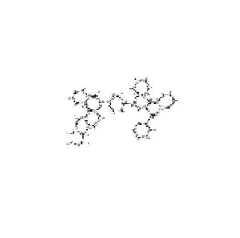 c1ccc(-c2nc3ccccc3c3c2cc(-c2ccc(-c4nc5ccccc5c5c4ccc4c6ccccc6oc45)cc2)c2ccccc23)cc1